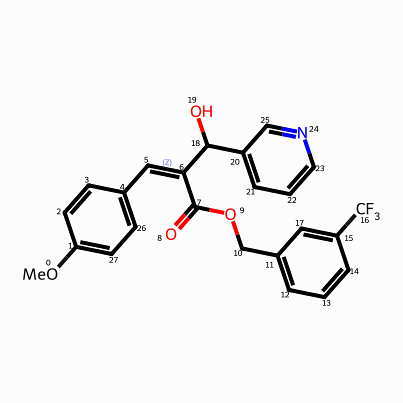 COc1ccc(/C=C(\C(=O)OCc2cccc(C(F)(F)F)c2)C(O)c2cccnc2)cc1